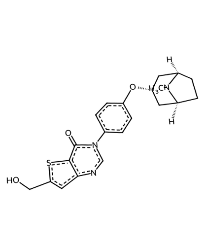 CN1[C@@H]2CC[C@H]1C[C@H](Oc1ccc(-n3cnc4cc(CO)sc4c3=O)cc1)C2